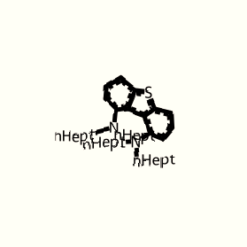 CCCCCCCN(CCCCCCC)c1cccc2sc3cccc(N(CCCCCCC)CCCCCCC)c3c12